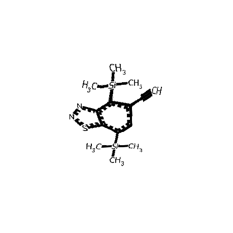 C#Cc1cc([Si](C)(C)C)c2snnc2c1[Si](C)(C)C